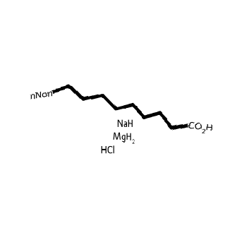 CCCCCCCCCCCCCCCCCC(=O)O.Cl.[MgH2].[NaH]